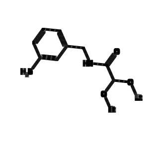 Bc1cccc(CNC(=O)C(OCC)OCC)c1